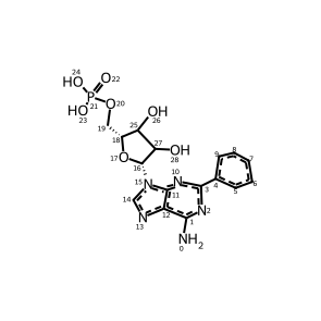 Nc1nc(-c2ccccc2)nc2c1ncn2[C@@H]1O[C@H](COP(=O)(O)O)C(O)C1O